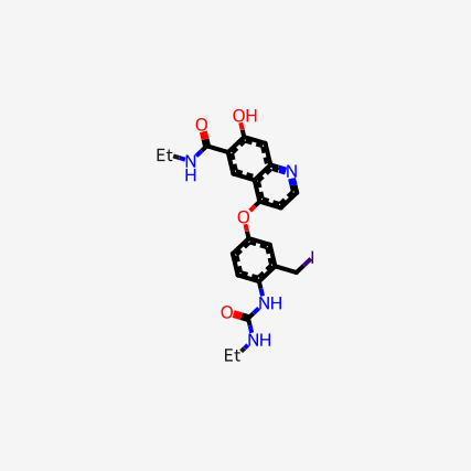 CCNC(=O)Nc1ccc(Oc2ccnc3cc(O)c(C(=O)NCC)cc23)cc1CI